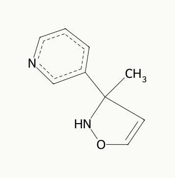 CC1(c2cccnc2)C=CON1